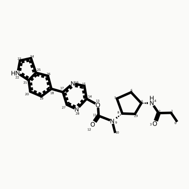 CCC(=O)N[C@H]1CC[C@@H](N(C)C(=O)Oc2cnc(-c3ccc4[nH]ccc4c3)cn2)C1